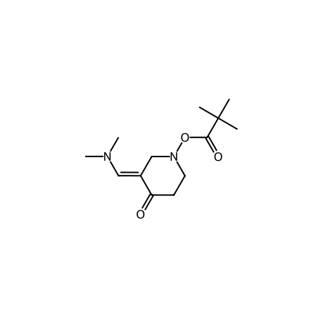 CN(C)C=C1CN(OC(=O)C(C)(C)C)CCC1=O